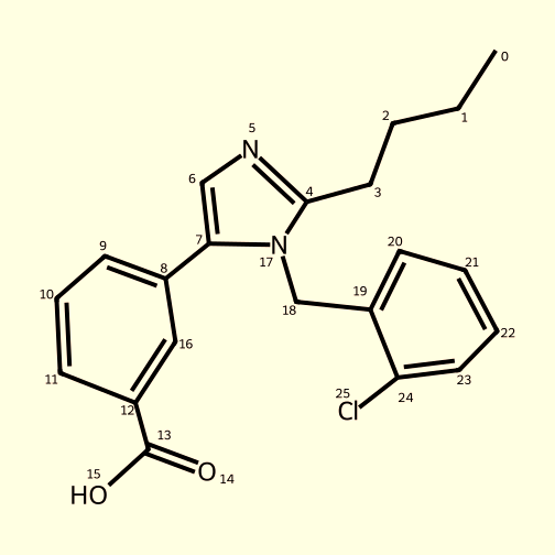 CCCCc1ncc(-c2cccc(C(=O)O)c2)n1Cc1ccccc1Cl